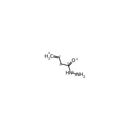 C=C[CH]C(=O)NN